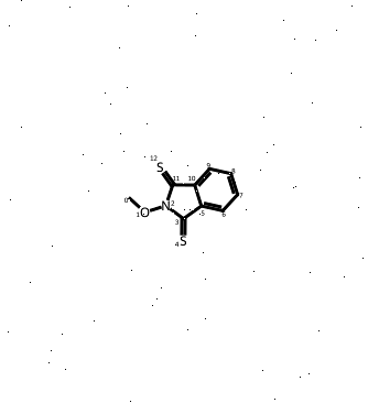 CON1C(=S)c2ccccc2C1=S